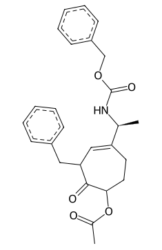 CC(=O)OC1CCC([C@H](C)NC(=O)OCc2ccccc2)=CC(Cc2ccccc2)C1=O